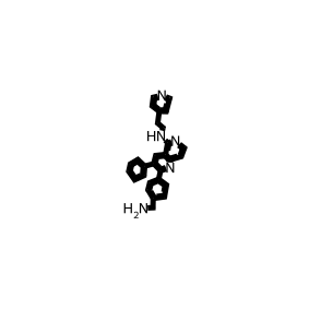 NCc1ccc(-c2nc3ccnc(NCCc4ccncc4)c3cc2-c2ccccc2)cc1